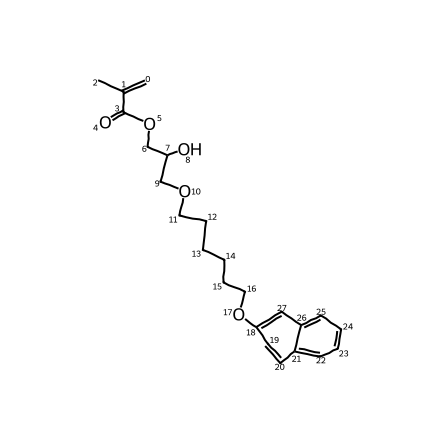 C=C(C)C(=O)OCC(O)COCCCCCCOc1ccc2ccccc2c1